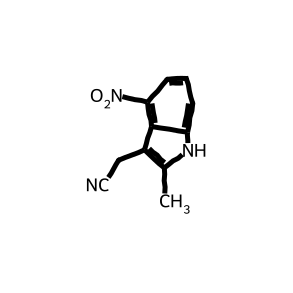 Cc1[nH]c2cccc([N+](=O)[O-])c2c1CC#N